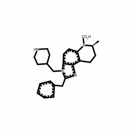 C[C@H]1CCc2c(ccc3c2nc(Cc2ccccc2)n3CC2CCNCC2)N1C(=O)O